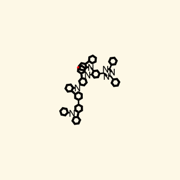 c1ccc(-c2nc(-c3ccccc3)nc(-c3ccc(-n4c5ccccc5c5cc(-n6c7ccccc7c7cc(-c8ccc9c%10ccccc%10n(-c%10ccccc%10)c9c8)ccc76)ccc54)c(-n4c5ccccc5c5ccccc54)c3)n2)cc1